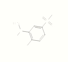 CS(=O)(=O)c1ccc(Cl)c([S+](N)[O-])c1